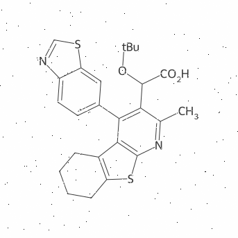 Cc1nc2sc3c(c2c(-c2ccc4ncsc4c2)c1C(OC(C)(C)C)C(=O)O)CCCC3